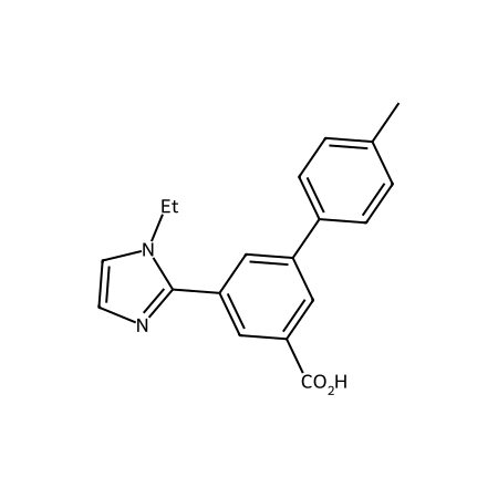 CCn1ccnc1-c1cc(C(=O)O)cc(-c2ccc(C)cc2)c1